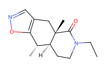 CCN1CC[C@H]2[C@H](C)c3oncc3C[C@]2(C)C1=O